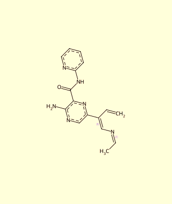 C=C/C(=C\N=C/C)c1cnc(N)c(C(=O)Nc2ccccn2)n1